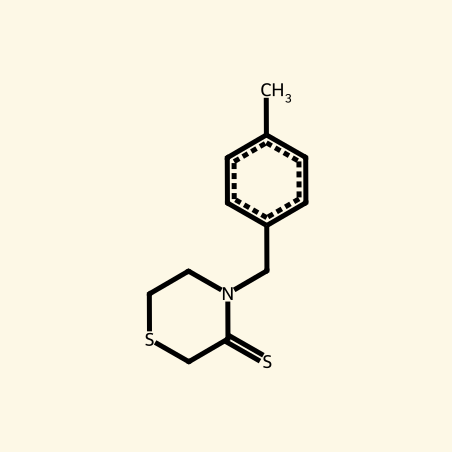 Cc1ccc(CN2CCSCC2=S)cc1